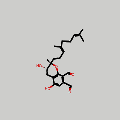 CC(C)=CCC/C(C)=C/CC[C@]1(C)Oc2c(C=O)c(C=O)cc(O)c2C[C@@H]1O